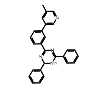 Cc1cncc(-c2cccc(C3=NC(c4ccccc4)NC(c4ccccc4)=N3)c2)c1